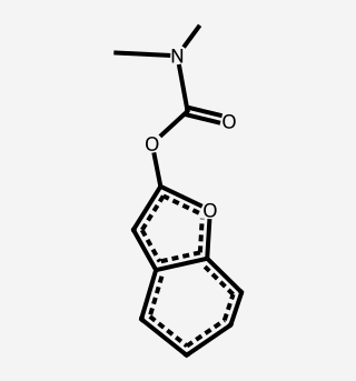 CN(C)C(=O)Oc1cc2ccccc2o1